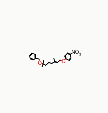 C/C(=C\COc1ccc([N+](=O)[O-])cc1)CCCC(C)(C)OCc1ccccc1